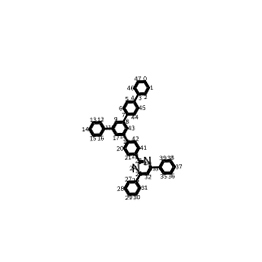 c1ccc(-c2ccc(-c3cc(-c4ccccc4)cc(-c4ccc(-c5nc(-c6ccccc6)cc(-c6ccccc6)n5)cc4)c3)cc2)cc1